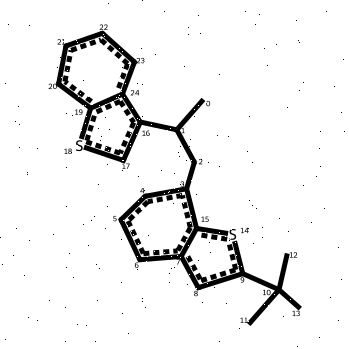 CC(Cc1cccc2cc(C(C)(C)C)sc12)c1csc2ccccc12